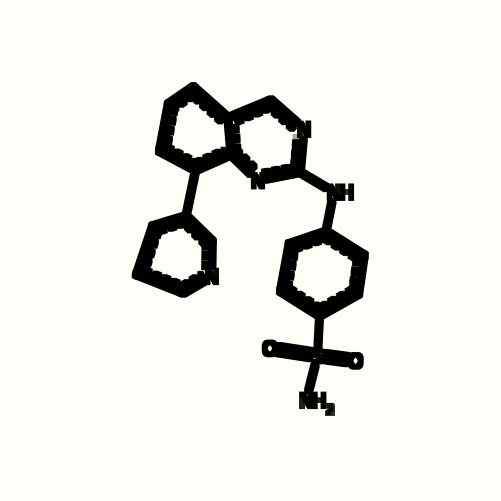 NS(=O)(=O)c1ccc(Nc2ncc3cccc(-c4cccnc4)c3n2)cc1